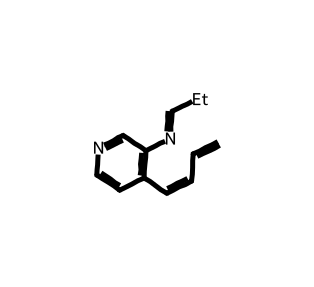 C=C/C=C\c1ccncc1/N=C/CC